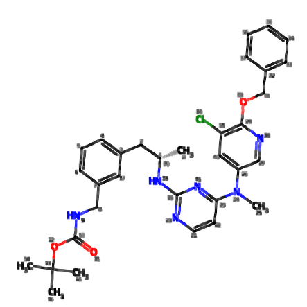 C[C@@H](Cc1cccc(CNC(=O)OC(C)(C)C)c1)Nc1nccc(N(C)c2cnc(OCc3ccccc3)c(Cl)c2)n1